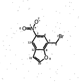 O=[N+]([O-])c1cc(CBr)c2occc2c1